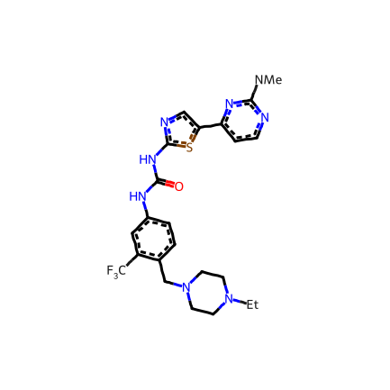 CCN1CCN(Cc2ccc(NC(=O)Nc3ncc(-c4ccnc(NC)n4)s3)cc2C(F)(F)F)CC1